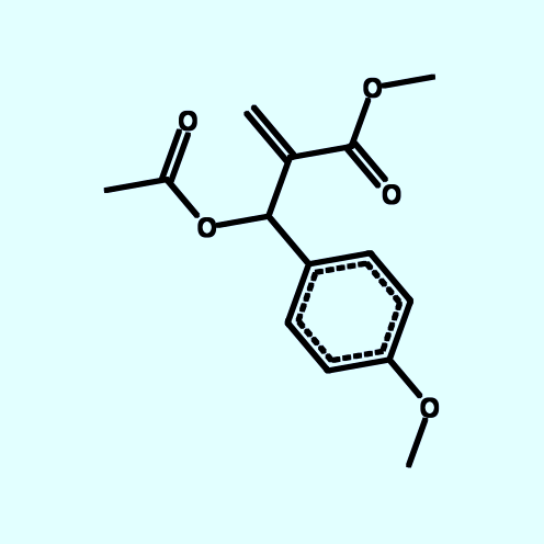 C=C(C(=O)OC)C(OC(C)=O)c1ccc(OC)cc1